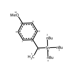 CCC[CH2][Sn]([CH2]CCC)([CH2]CCC)[CH](C)c1ccc(OC)cc1